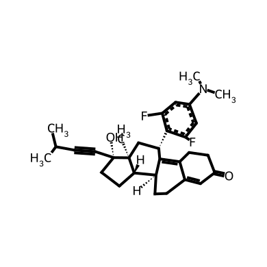 CC(C)C#C[C@]1(O)CC[C@H]2[C@@H]3CCC4=CC(=O)CCC4=C3[C@@H](c3c(F)cc(N(C)C)cc3F)C[C@@]21C